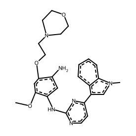 COc1cc(OCCN2CCOCC2)c(N)cc1Nc1nccc(-c2cn(C)c3ccccc23)n1